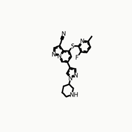 Cc1ccc(F)c(Sc2cc(-c3cnn(C4CCCNC4)c3)cn3ncc(C#N)c23)n1